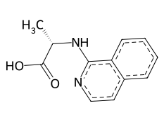 C[C@H](Nc1nccc2ccccc12)C(=O)O